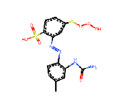 Cc1ccc(N=Nc2cc(SOOO)ccc2S(=O)(=O)O)c(NC(N)=O)c1